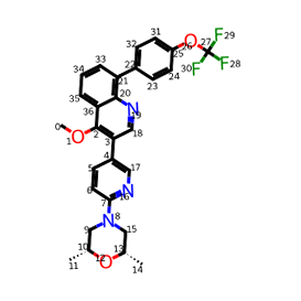 COc1c(-c2ccc(N3C[C@@H](C)O[C@@H](C)C3)nc2)cnc2c(-c3ccc(OC(F)(F)F)cc3)cccc12